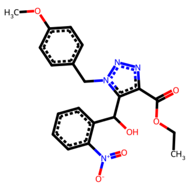 CCOC(=O)c1nnn(Cc2ccc(OC)cc2)c1C(O)c1ccccc1[N+](=O)[O-]